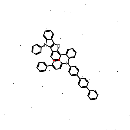 c1ccc(-c2ccc(-c3ccc(N(c4ccc(-c5ccccc5)cc4)c4ccccc4-c4cccc5c4oc4c6ccccc6n(-c6ccccc6)c54)cc3)cc2)cc1